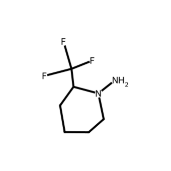 NN1CCCCC1C(F)(F)F